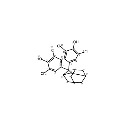 Oc1c(Cl)cc(C2(c3cc(Cl)c(O)c(Cl)c3)C3CC4CC(C3)CC2C4)cc1Cl